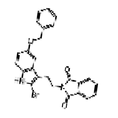 O=C1c2ccccc2C(=O)N1CCc1c(Br)[nH]c2ccc(OCc3ccccc3)cc12